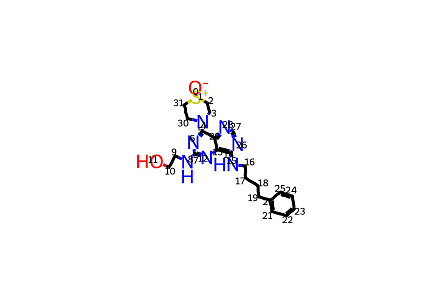 [O-][S+]1CCN(c2nc(NCCO)nc3c(NCCCCc4ccccc4)ncnc23)CC1